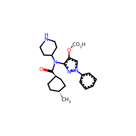 C[C@H]1CC[C@H](C(=O)N(c2nn(-c3ccccc3)cc2OC(=O)O)C2CCNCC2)CC1